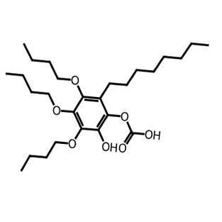 CCCCCCCCc1c(OC(=O)O)c(O)c(OCCCC)c(OCCCC)c1OCCCC